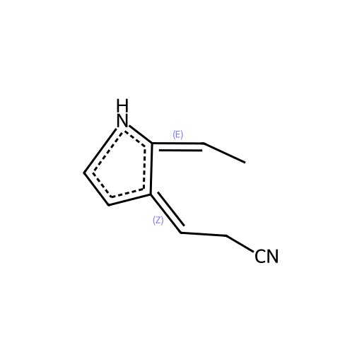 C/C=c1/[nH]cc/c1=C/CC#N